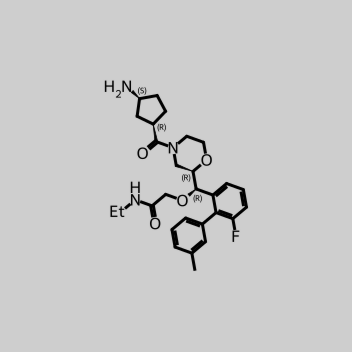 CCNC(=O)CO[C@H](c1cccc(F)c1-c1cccc(C)c1)[C@H]1CN(C(=O)[C@@H]2CC[C@H](N)C2)CCO1